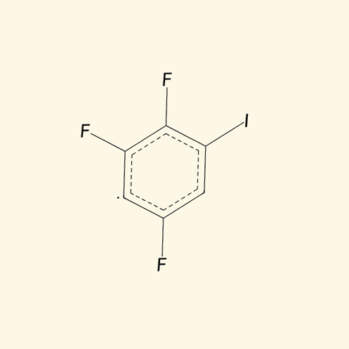 Fc1[c]c(F)c(F)c(I)c1